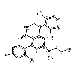 Cc1cc(F)ccc1-c1nc(N(C)CCO)nc2c1C(=O)NCN2c1c(C)cccc1C